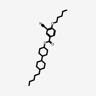 CCCCCOc1ccc(C(=O)OC2CCC(C3CCC(CCCCC)CC3)CC2)cc1C#N